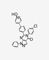 O=c1c2cnn(-c3ccccc3)c2nc(-c2ccc(-c3cc[n+](O)cc3)cc2)n1-c1ccc(Cl)cc1